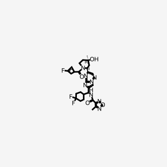 Cc1nonc1C(=O)N[C@H](c1cn2ncc([C@@H]3C[C@](C)(O)CCN3C(=O)C34CC(F)(C3)C4)nc2n1)C1CCC(F)(F)CC1